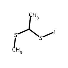 CSC(C)SI